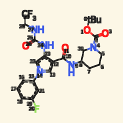 CC(C)(C)OC(=O)N1CCCC(NC(=O)c2cn(-c3cccc(F)c3)cc2NC(=O)NCC(F)(F)F)C1